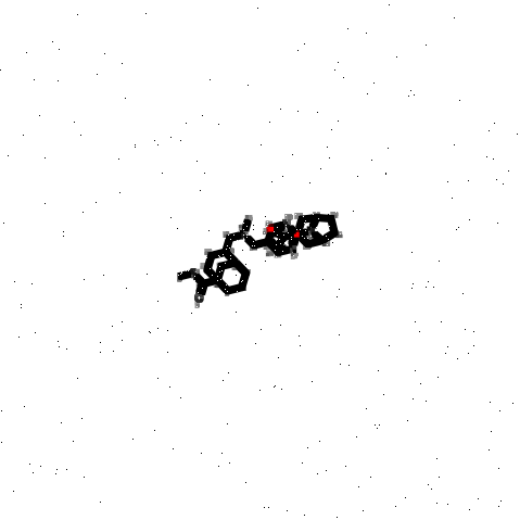 CSC(=O)C12CCCC(C1)C(CN(C)Cc1cnc(N3C4CCC3CN(C(C)C)C4)nc1)CC2